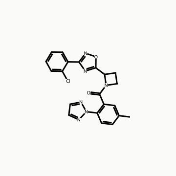 Cc1ccc(-n2nccn2)c(C(=O)N2CCC2c2nc(-c3ccccc3Cl)no2)c1